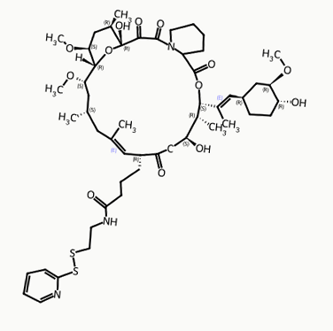 CO[C@H]1C[C@@H](C)C/C(C)=C/[C@@H](CCCC(=O)NCCSSc2ccccn2)C(=O)C[C@H](O)[C@@H](C)[C@@H](/C(C)=C/[C@@H]2CC[C@@H](O)[C@H](OC)C2)OC(=O)C2CCCCN2C(=O)C(=O)[C@]2(O)O[C@H]1[C@@H](OC)C[C@H]2C